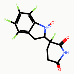 O=C1CCC(F)(C2Cc3c(F)c(F)c(F)c(F)c3[NH+]2[O-])C(=O)N1